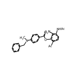 CC(=O)Nc1ccc(C(C)=O)c(OC(=O)c2ccc(N(C)Cc3ccccc3)cc2)c1[N+](=O)[O-]